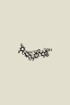 C[C@@H](C(=O)Nc1cnc(Oc2ccc(F)cc2F)cn1)N1CCN(C(=O)c2cc[n+]([O-])c(C(C)(C)O)c2)C(C)(C)C1